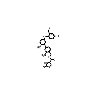 Nc1nc(-c2cc(Nc3ccc(Cl)cc3CF)ccc2O)ccc1CNC(=O)C1CSC(=O)N1